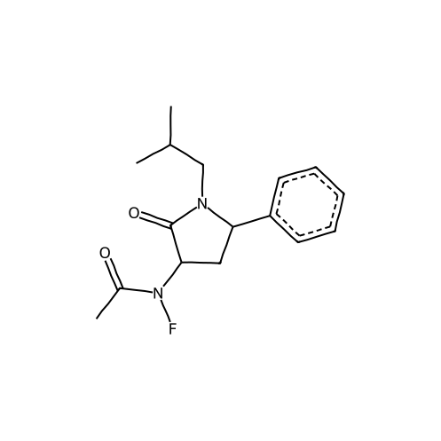 CC(=O)N(F)C1CC(c2ccccc2)N(CC(C)C)C1=O